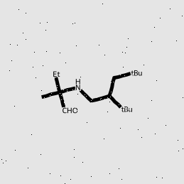 CCC(C)(C=O)NCC(CC(C)(C)C)C(C)(C)C